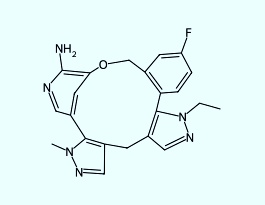 CCn1ncc2c1-c1ccc(F)cc1COc1cc(cnc1N)-c1c(cnn1C)C2